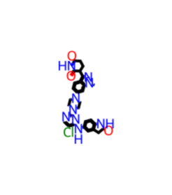 Cn1nc(C2CCC(=O)NC2=O)c2ccc(N3CCN(c4ncc(Cl)c(Nc5ccc6c(c5)CC(=O)N6)n4)CC3)cc21